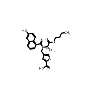 CCCCOC(=O)[C@@H](C)N(Cc1csc(C(=O)O)c1)C(=O)c1cccc2cc(O)ccc12